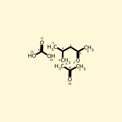 CC(=O)CC(C)C.CC(C)=O.O=C(O)O